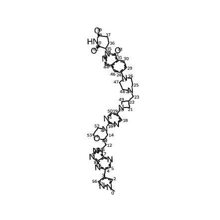 Cn1cc(-c2cnc3c(nnn3C[C@@H]3CN(c4ncc(N5CC(CN6CCN(c7ccc8c(=O)n(C9CCC(=O)NC9=O)ncc8c7)CC6)C5)cn4)CCO3)n2)cn1